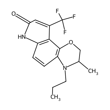 CCCN1c2ccc3[nH]c(=O)cc(C(F)(F)F)c3c2OCC1C